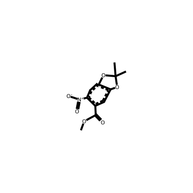 COC(=O)c1cc2c(cc1[N+](=O)[O-])OC(C)(C)O2